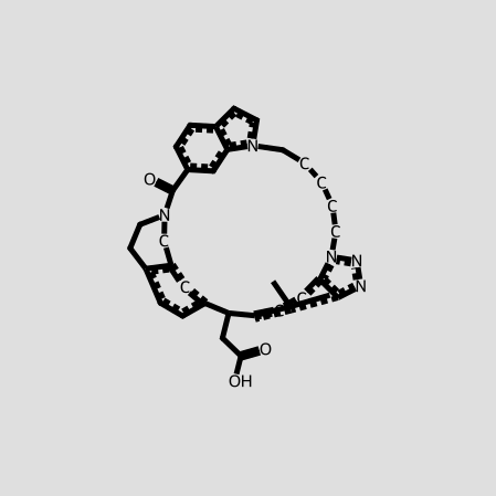 Cc1c2ccc3c1nnn3CCCCCn1ccc3ccc(cc31)C(=O)N1CCc3ccc(cc3C1)C2CC(=O)O